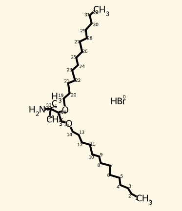 Br.CCCCCCCCCCCCCCOCC(OCCCCCCCCCCCCCC)C(C)(C)N